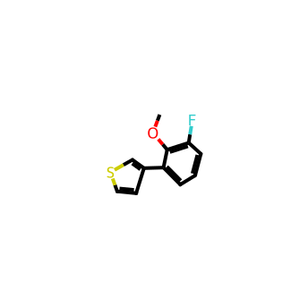 COc1c(F)cccc1-c1ccsc1